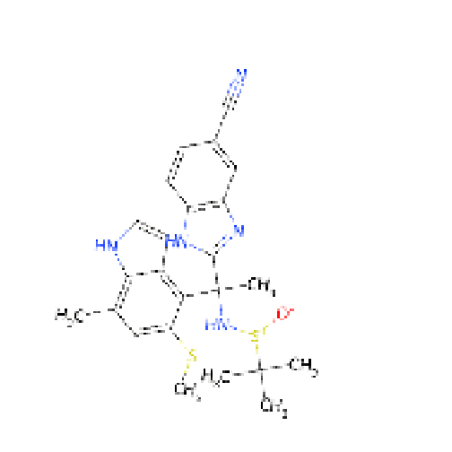 CSc1cc(C)c2[nH]ccc2c1C(C)(N[S+]([O-])C(C)(C)C)c1nc2cc(C#N)ccc2[nH]1